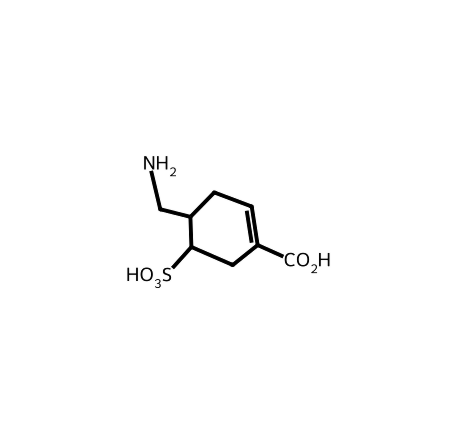 NCC1CC=C(C(=O)O)CC1S(=O)(=O)O